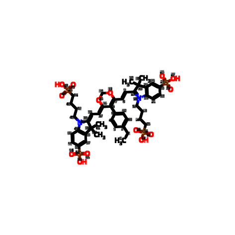 CCc1ccc(C2=C(/C=C/C3=[N+](CCCCS(=O)(=O)O)c4ccc(S(=O)(=O)O)cc4C3(C)C)OCO/C2=C\C=C2\N(CCCCS(=O)(=O)O)c3ccc(S(=O)(=O)O)cc3C2(C)C)cc1